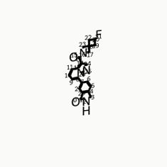 O=C1NCc2ccc(-c3cccc4c(C(=O)N5CC6(CC(F)C6)C5)cnn34)cc21